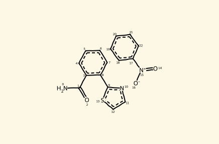 NC(=O)c1ccccc1-c1nccs1.O=[N+]([O-])c1ccccc1